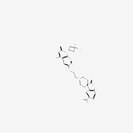 Cc1cc(=O)n([C@H]2C[C@@](C)(O)C2)c2ncc(OCCN3CCC4(CC3)C(=O)Nc3ccc(C(F)F)cc34)cc12